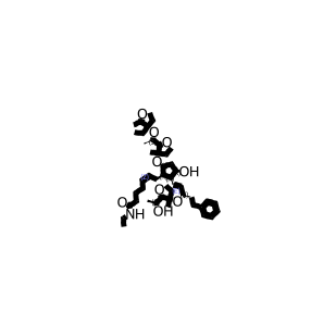 CCNC(=O)CCC/C=C\C[C@@H]1[C@@H](/C=C/[C@H](CCc2ccccc2)OC(C)(CC)C(=O)[C@H](C)O)[C@H](O)C[C@@H]1OC(C)(CC)C(=O)[C@H](C)OC(CC)(CC)C(C)=O